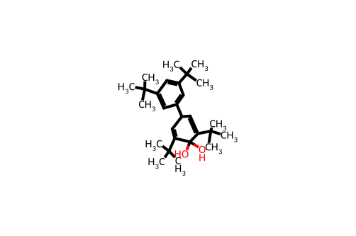 CC(C)(C)C1=CC(c2cc(C(C)(C)C)cc(C(C)(C)C)c2)C=C(C(C)(C)C)C1(O)O